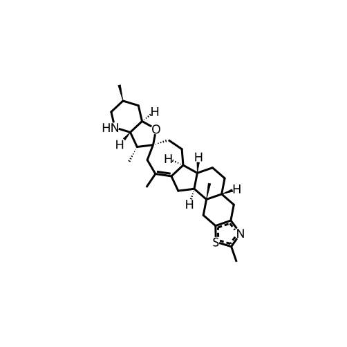 CC1=C2C[C@H]3[C@@H](CC[C@@H]4Cc5nc(C)sc5C[C@@]43C)[C@@H]2CC[C@@]2(C1)O[C@@H]1C[C@H](C)CN[C@H]1[C@H]2C